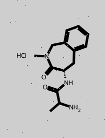 CC(N)C(=O)N[C@H]1Cc2ccccc2CN(C)C1=O.Cl